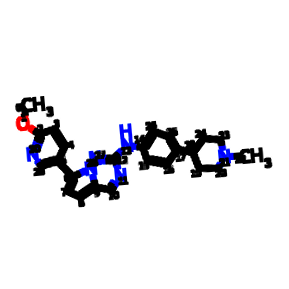 COc1ccc(-c2ccc3cnc(Nc4ccc(C5CCN(C)CC5)cc4)nn23)cn1